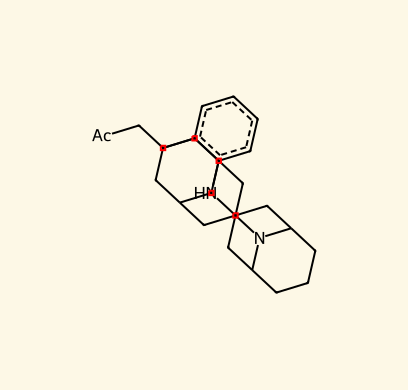 CC(=O)CCc1ccccc1NC1CC2CCCC(C1)N2C1CC2CCCC(C2)C1